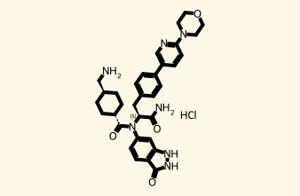 Cl.NC[C@H]1CC[C@H](C(=O)N(c2ccc3c(=O)[nH][nH]c3c2)[C@@H](Cc2ccc(-c3ccc(N4CCOCC4)nc3)cc2)C(N)=O)CC1